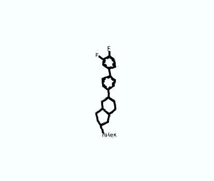 CCCCCCC1CCC2CC(c3ccc(-c4ccc(F)c(F)c4)cc3)CCC2C1